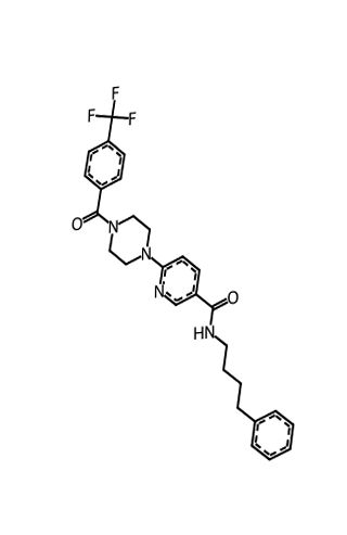 O=C(NCCCCc1ccccc1)c1ccc(N2CCN(C(=O)c3ccc(C(F)(F)F)cc3)CC2)nc1